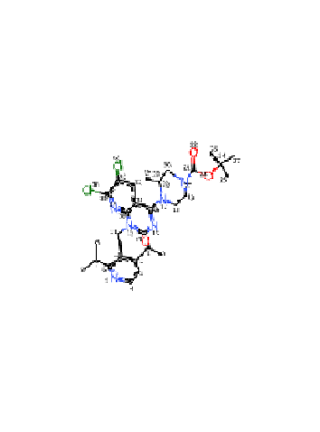 CCc1ccnc(C(C)C)c1Cn1c(=O)nc(N2CCN(C(=O)OC(C)(C)C)C[C@@H]2C)c2cc(Cl)c(Cl)nc21